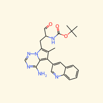 Cc1c(-c2cnc3ccccc3c2)c2c(N)ncnn2c1CC(C=O)NC(=O)OC(C)(C)C